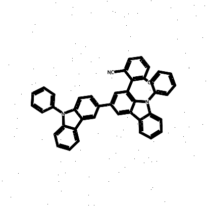 N#Cc1cccc(C#N)c1-c1cc(-c2ccc3c(c2)c2ccccc2n3-c2ccccc2)cc2c3ccccc3n(-c3ccccc3)c12